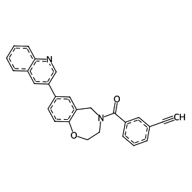 C#Cc1cccc(C(=O)N2CCOc3ccc(-c4cnc5ccccc5c4)cc3C2)c1